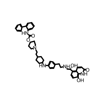 O=C(Nc1ccccc1-c1ccccc1)OC1CCN(CCC2CCC(Nc3ccc(CCNC[C@@H](O)c4ccc(O)c5[nH]c(=O)ccc45)cc3)CC2)CC1